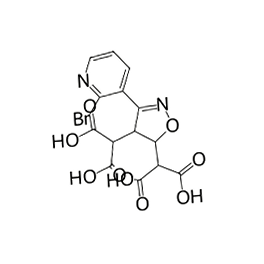 O=C(O)C(C(=O)O)C1ON=C(c2cccnc2Br)C1C(C(=O)O)C(=O)O